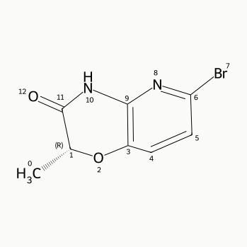 C[C@H]1Oc2ccc(Br)nc2NC1=O